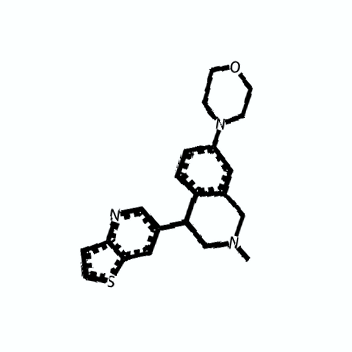 CN1Cc2cc(N3CCOCC3)ccc2C(c2cnc3ccsc3c2)C1